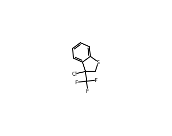 FC(F)(F)C1(Cl)CSc2ccccc21